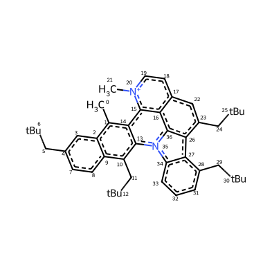 Cc1c2cc(CC(C)(C)C)ccc2c(CC(C)(C)C)c2c1c1c3c(cc[n+]1C)cc(CC(C)(C)C)c1c4c(CC(C)(C)C)cccc4n2c13